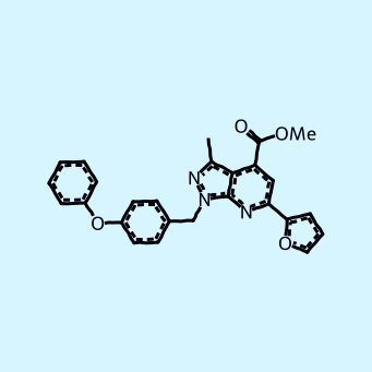 COC(=O)c1cc(-c2ccco2)nc2c1c(C)nn2Cc1ccc(Oc2ccccc2)cc1